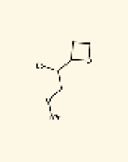 CC[CH]OCC(CC)C1CCO1